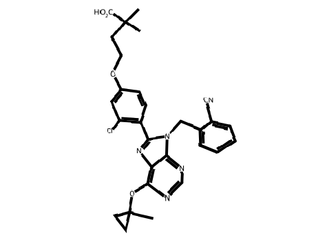 CC1(Oc2ncnc3c2nc(-c2ccc(OCCC(C)(C)C(=O)O)cc2Cl)n3Cc2ccccc2C#N)CC1